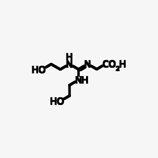 O=C(O)CN=C(NCCO)NCCO